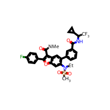 CCN(c1cc2oc(-c3ccc(F)cc3)c(C(=O)NC)c2cc1-c1cccc(C(=O)NC(C2CC2)C(F)(F)F)c1)S(C)(=O)=O